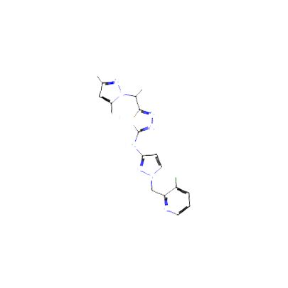 Cc1cc(C)n(C(C)c2nnc(Nc3ccn(Cc4ncccc4F)n3)s2)n1